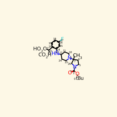 CC(C)(C)OC(=O)N1CCC(C)(N2CCC(Nc3cc(F)ccc3C(C(=O)O)C(=O)O)CC2)C1